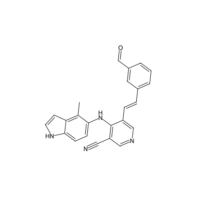 Cc1c(Nc2c(C#N)cncc2C=Cc2cccc(C=O)c2)ccc2[nH]ccc12